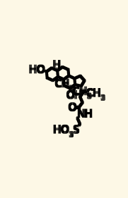 CC(CCC(=O)NCCS(=O)(=O)O)[C@H]1CCC2C3CC[C@@H]4C[C@H](O)CC[C@]4(C)C3C[C@H](O)[C@@]21C